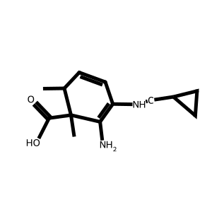 CC1C=CC(NCC2CC2)=C(N)C1(C)C(=O)O